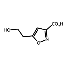 O=C(O)c1cc(CCO)on1